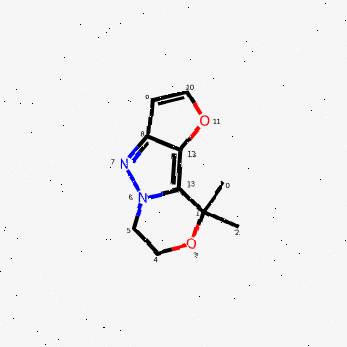 CC1(C)OCCn2nc3ccoc3c21